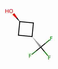 O[C@H]1C[C@H](C(F)(F)F)C1